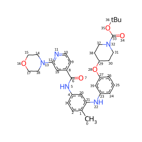 Cc1ccc(NC(=O)c2ccnc(N3CCOCC3)c2)cc1Nc1cccc(OC2CCN(C(=O)OC(C)(C)C)CC2)c1